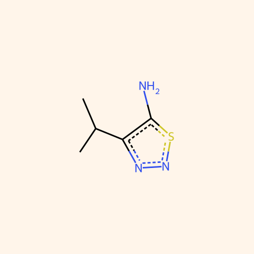 CC(C)c1nnsc1N